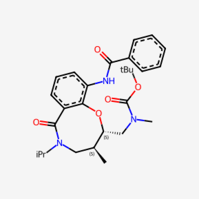 CC(C)N1C[C@H](C)[C@@H](CN(C)C(=O)OC(C)(C)C)Oc2c(NC(=O)c3ccccc3)cccc2C1=O